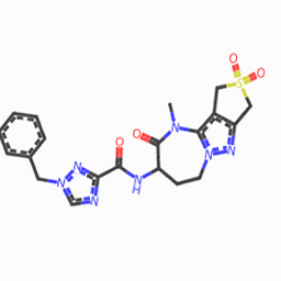 CN1C(=O)C(NC(=O)c2ncn(Cc3ccccc3)n2)CCn2nc3c(c21)CS(=O)(=O)C3